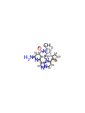 CCC1CCC(C)N1C(=O)c1cc(N)nc(-c2cnn3ccc(-c4cccs4)nc23)c1